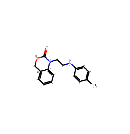 Cc1ccc(NCCN2C(=O)OCc3ccccc32)cc1